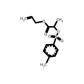 C=CCOC(=O)C(C)OS(=O)(=O)c1ccc(C)cc1